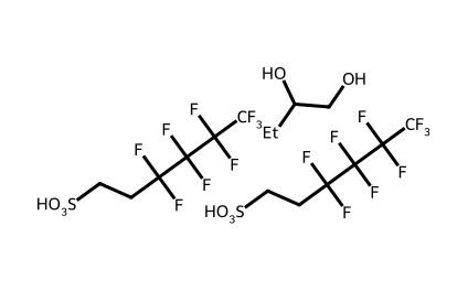 CCC(O)CO.O=S(=O)(O)CCC(F)(F)C(F)(F)C(F)(F)C(F)(F)F.O=S(=O)(O)CCC(F)(F)C(F)(F)C(F)(F)C(F)(F)F